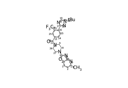 Cc1ccc2oc(N3CCN(C(=O)c4ccc(-c5ncn(C(C)(C)C)n5)c(C(F)(F)F)c4)CC3)nc2n1